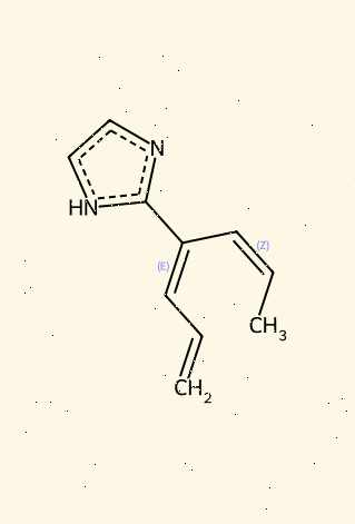 C=C/C=C(\C=C/C)c1ncc[nH]1